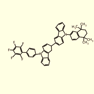 CC1(C)CCC(C)(C)c2cc(-n3c4ccccc4c4cc(C5C=Cc6c(c7ccccc7n6-c6ccc(-c7c(F)c(F)c(F)c(F)c7F)cc6)C5)ccc43)ccc21